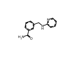 NC(=O)c1cccc(CNc2ccccn2)c1